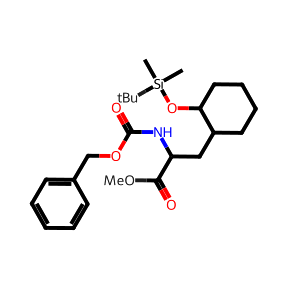 COC(=O)C(CC1CCCCC1O[Si](C)(C)C(C)(C)C)NC(=O)OCc1ccccc1